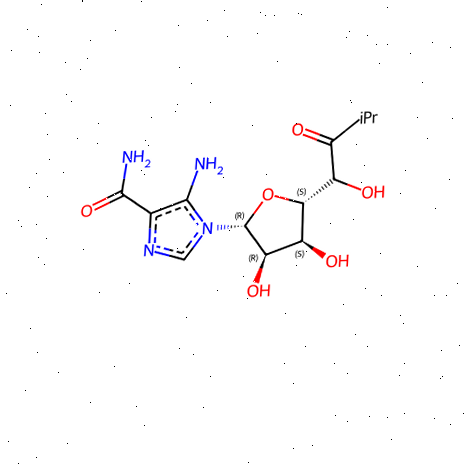 CC(C)C(=O)C(O)[C@H]1O[C@@H](n2cnc(C(N)=O)c2N)[C@H](O)[C@@H]1O